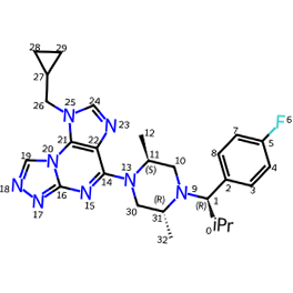 CC(C)[C@H](c1ccc(F)cc1)N1C[C@H](C)N(c2nc3nncn3c3c2ncn3CC2CC2)C[C@H]1C